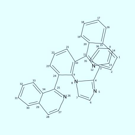 c1ccc(-c2nccn2-c2c(-c3nccc4ccccc34)cccc2-c2nccc3ccccc23)cc1